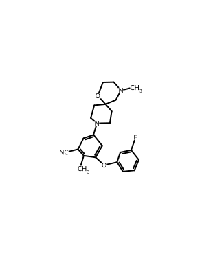 Cc1c(C#N)cc(N2CCC3(CC2)CN(C)CCO3)cc1Oc1cccc(F)c1